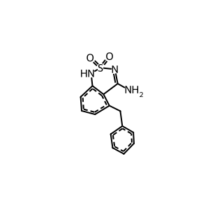 NC1=NS(=O)(=O)Nc2cccc(Cc3ccccc3)c21